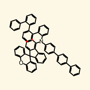 c1ccc(-c2ccc(-c3ccc(N(c4ccccc4-c4ccccc4-c4ccccc4-c4ccccc4)c4cccc5c4-c4ccccc4C54c5ccccc5Oc5ccccc54)cc3)cc2)cc1